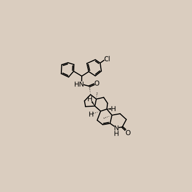 C[C@]12CC[C@H]3[C@@H](CC=C4NC(=O)CC[C@@]43C)[C@@H]1CC[C@@H]2C(=O)NC(c1ccccc1)c1ccc(Cl)cc1